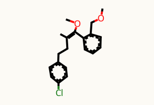 COCc1ccccc1/C(OC)=C(/C)CCc1ccc(Cl)cc1